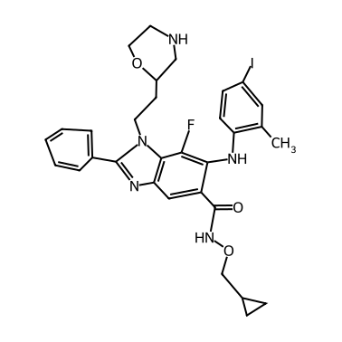 Cc1cc(I)ccc1Nc1c(C(=O)NOCC2CC2)cc2nc(-c3ccccc3)n(CCC3CNCCO3)c2c1F